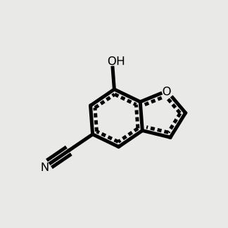 N#Cc1cc(O)c2occc2c1